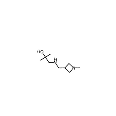 CN1CC(CNCC(C)(C)O)C1